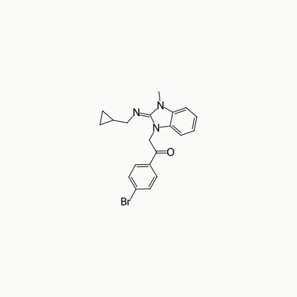 Cn1/c(=N/CC2CC2)n(CC(=O)c2ccc(Br)cc2)c2ccccc21